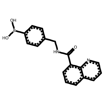 O=C(NCc1ccc(B(O)O)cc1)c1cccc2cccnc12